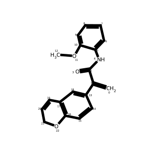 C=C(C(=O)Nc1ccccc1OC)c1ccc2c(c1)C=CCO2